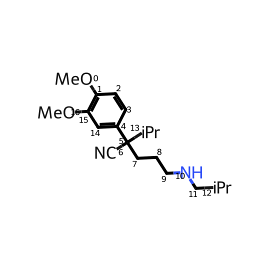 COc1ccc(C(C#N)(CCCNCC(C)C)C(C)C)cc1OC